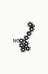 N#Cc1ccc(N(c2ccc(-c3ccc(-c4ccc5oc6ccccc6c5c4)cc3)cc2)c2ccc3c(c2)C(c2ccccc2)(c2ccccc2)c2ccccc2-3)cc1